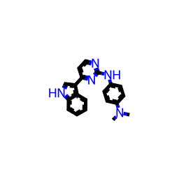 CN(C)c1ccc(Nc2nccc(-c3c[nH]c4ccccc34)n2)cc1